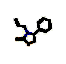 C=CCN1C(=S)SCC1c1ccccc1